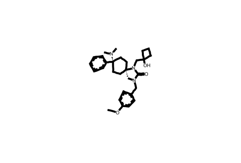 COc1ccc(CN2C[C@]3(CC[C@@](c4ccccc4)(N(C)C)CC3)N(CC3(O)CCC3)C2=O)cc1